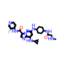 CNCC(=O)NC1CCC(Nc2cc(NC3CC3)c3ncc(C(=O)Nc4ccncc4F)n3n2)CC1